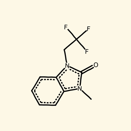 Cn1c(=O)n(CC(F)(F)F)c2ccccc21